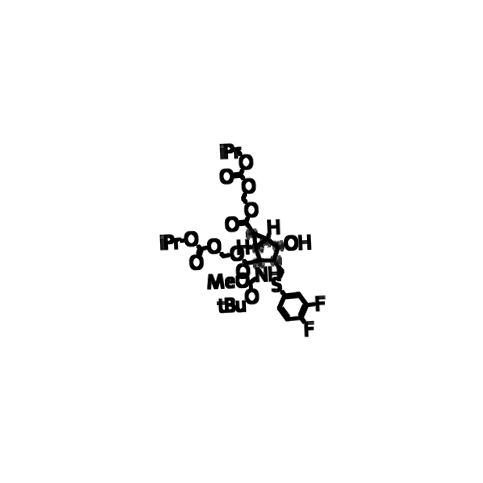 COC(N[C@]1(C(=O)OCOC(=O)OC(C)C)[C@@H]2[C@@H](C(=O)OCOC(=O)OC(C)C)[C@@H]2[C@H](O)[C@H]1CSc1ccc(F)c(F)c1)OC(C)(C)C